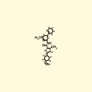 CC1=C(C(=O)Nc2cc(-c3ccccn3)cc(C)n2)CC(c2ccc(C(C)(C)C)cc2)=C1